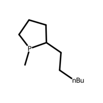 CCCCCCC1CCCP1C